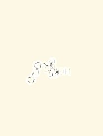 O=C(O)CN1C(=O)C(=Cc2cccc(OCc3ccccc3)c2)SC1=S